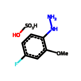 COc1cc(F)ccc1NN.O=S(=O)(O)O